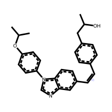 CC(O)Cc1ccc(/C=C\c2ccc3c(c2)ncn3-c2ccc(OC(C)C)cc2)cc1